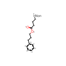 [CH2]CCCCCCCCCCCC(=O)OCCCc1ccccc1